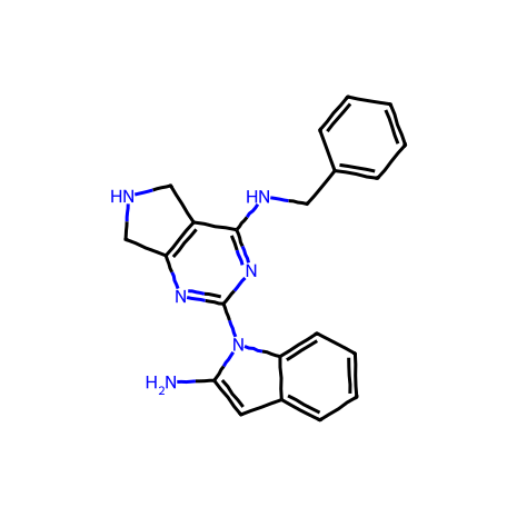 Nc1cc2ccccc2n1-c1nc2c(c(NCc3ccccc3)n1)CNC2